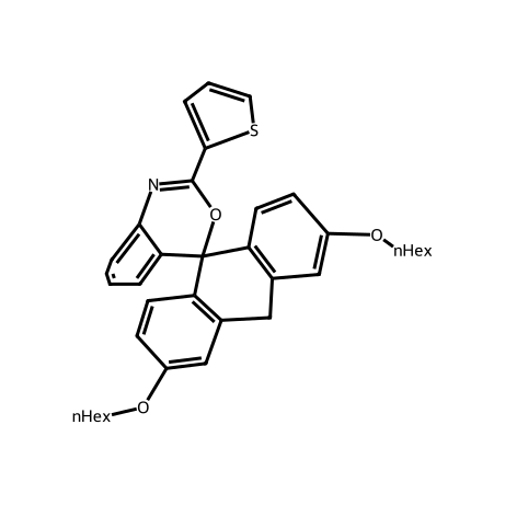 CCCCCCOc1ccc2c(c1)Cc1cc(OCCCCCC)ccc1C21OC(c2cccs2)=Nc2ccccc21